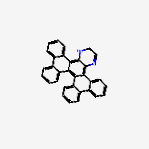 C1=Nc2c(c3c4ccccc4c4ccccc4c3c3c4ccccc4c4ccccc4c23)NC1